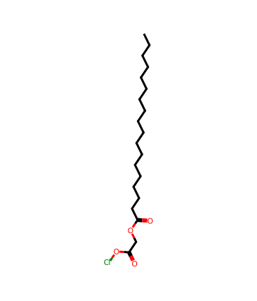 CCCCCCCCCCCCCCCCCC(=O)OCC(=O)OCl